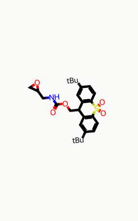 CC(C)(C)c1ccc2c(c1)C(COC(=O)NCC1CO1)c1cc(C(C)(C)C)ccc1S2(=O)=O